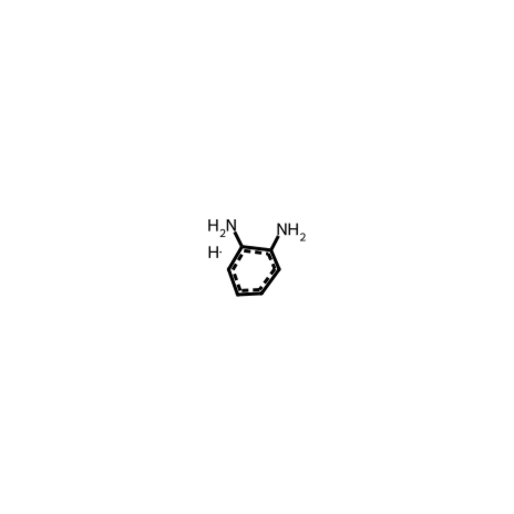 Nc1ccccc1N.[H]